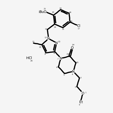 CCOCCN1CCN(c2cc(C)n(Cc3cc(Cl)ccc3OCC(C)C)n2)C(=O)C1.Cl